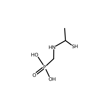 CC(S)NCP(=O)(O)O